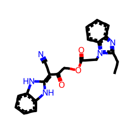 CCc1nc2ccccc2n1CC(=O)OCC(=O)C(C#N)=C1Nc2ccccc2N1